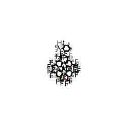 C[NH+](C)c1ccccc1.FC(F)(F)c1cc(C(F)(F)F)c[c]([Al-]([c]2cc(C(F)(F)F)cc(C(F)(F)F)c2)([c]2cc(C(F)(F)F)cc(C(F)(F)F)c2)[c]2cc(C(F)(F)F)cc(C(F)(F)F)c2)c1